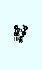 Cc1cccc(-c2ccc(C[C@H](NC(=O)C3(CC(=O)OCc4ccccc4)CCCC3)c3nnn[nH]3)cc2)c1